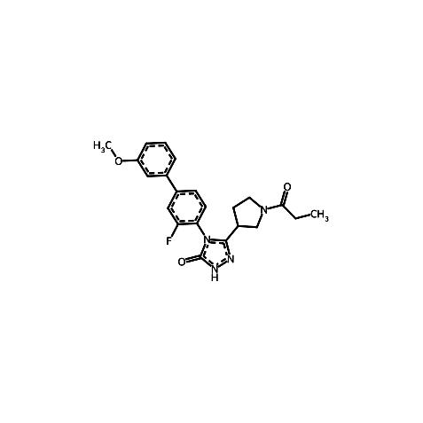 CCC(=O)N1CCC(c2n[nH]c(=O)n2-c2ccc(-c3cccc(OC)c3)cc2F)C1